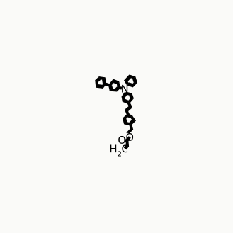 C=CC(=O)OCCc1ccc(C=Cc2ccc(N(c3ccccc3)c3ccc(-c4ccccc4)cc3)cc2)cc1